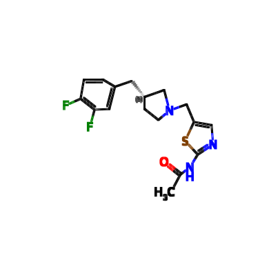 CC(=O)Nc1ncc(CN2CC[C@H](Cc3ccc(F)c(F)c3)C2)s1